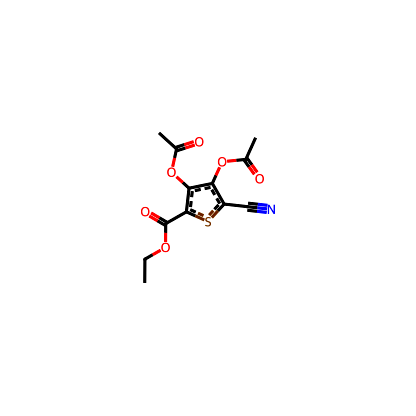 CCOC(=O)c1sc(C#N)c(OC(C)=O)c1OC(C)=O